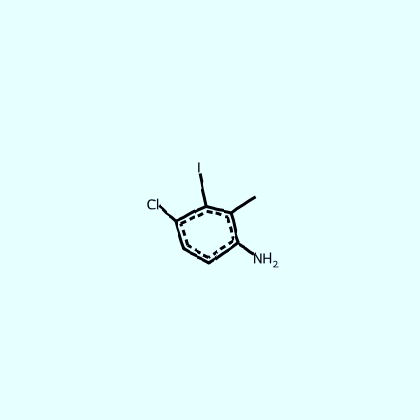 Cc1c(N)ccc(Cl)c1I